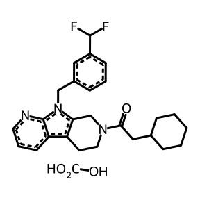 O=C(CC1CCCCC1)N1CCc2c(n(Cc3cccc(C(F)F)c3)c3ncccc23)C1.O=C(O)O